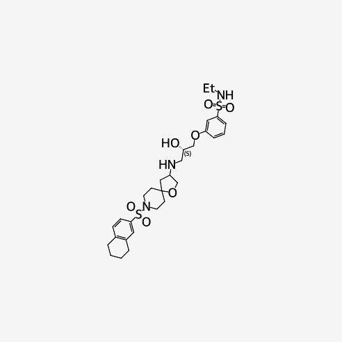 CCNS(=O)(=O)c1cccc(OC[C@@H](O)CNC2COC3(CCN(S(=O)(=O)c4ccc5c(c4)CCCC5)CC3)C2)c1